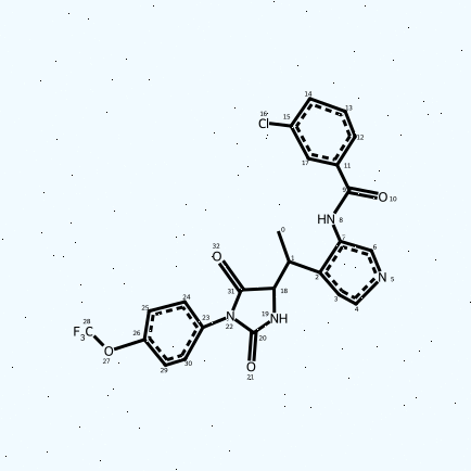 CC(c1ccncc1NC(=O)c1cccc(Cl)c1)C1NC(=O)N(c2ccc(OC(F)(F)F)cc2)C1=O